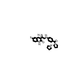 N/C(=C\Nc1ccc(C(=O)N2CCC[C@@H]2CN2CCCC2)cc1)c1cc2cc(F)ccc2[nH]c1=O